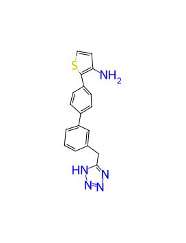 Nc1ccsc1-c1ccc(-c2cccc(Cc3nnn[nH]3)c2)cc1